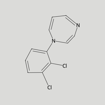 Clc1cccc(N2C=CC=NC=C2)c1Cl